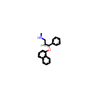 CNC[C@H](F)[C@@H](Oc1cccc2ccccc12)c1ccccc1